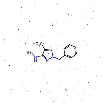 CC(C)Nc1nn(Cc2ccccc2)cc1C(=O)O